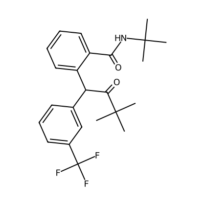 CC(C)(C)NC(=O)c1ccccc1C(C(=O)C(C)(C)C)c1cccc(C(F)(F)F)c1